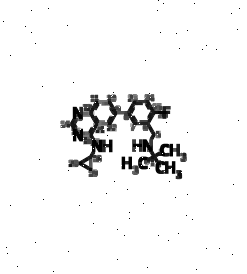 CC(C)(C)NCc1cc(-c2ccc3ncnc(NC4CC4)c3c2)ccc1F